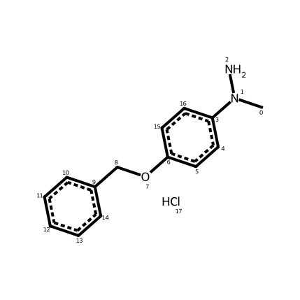 CN(N)c1ccc(OCc2ccccc2)cc1.Cl